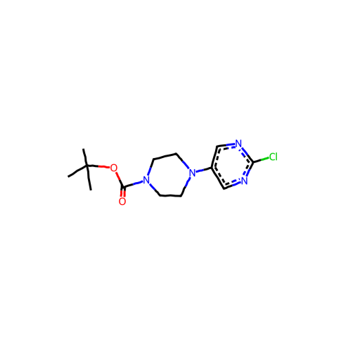 CC(C)(C)OC(=O)N1CCN(c2cnc(Cl)nc2)CC1